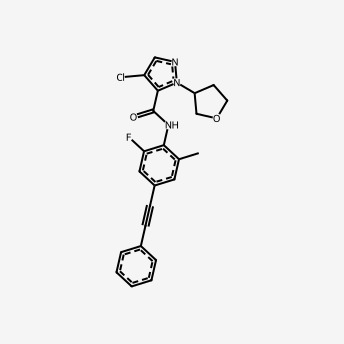 Cc1cc(C#Cc2ccccc2)cc(F)c1NC(=O)c1c(Cl)cnn1C1CCOC1